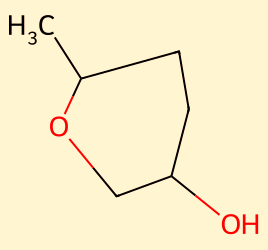 CC1CCC(O)CO1